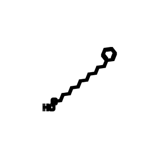 OOCCCCCCCCCCCc1ccccc1